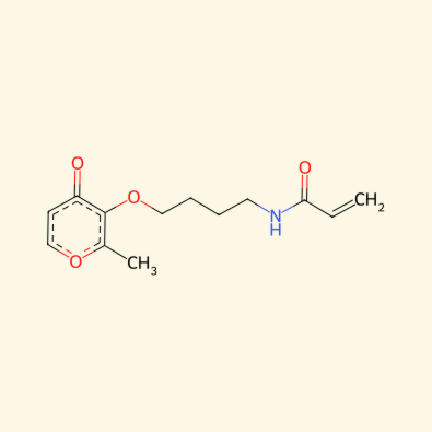 C=CC(=O)NCCCCOc1c(C)occc1=O